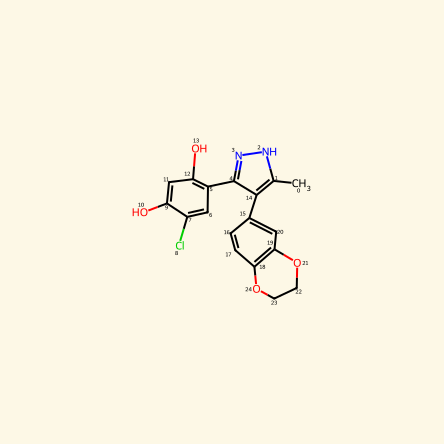 Cc1[nH]nc(-c2cc(Cl)c(O)cc2O)c1-c1ccc2c(c1)OCCO2